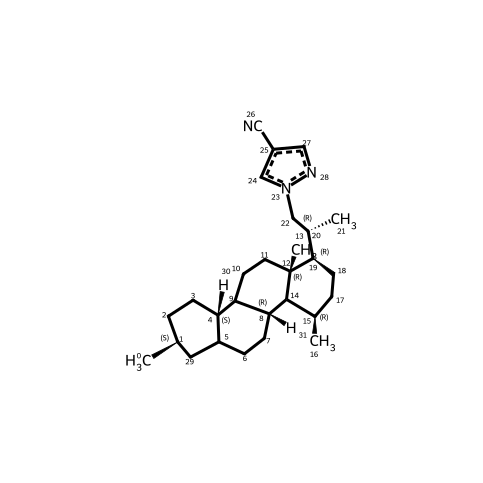 C[C@H]1CC[C@H]2C(CC[C@@H]3C2CC[C@@]2(C)C3[C@H](C)CC[C@@H]2[C@@H](C)Cn2cc(C#N)cn2)C1